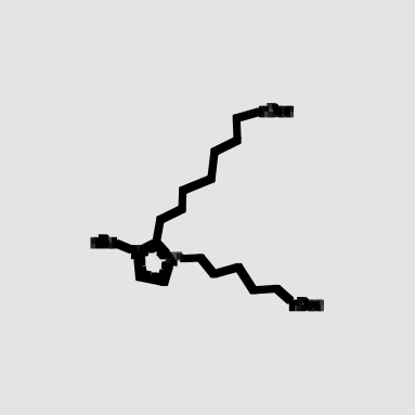 CCCCCCCCCCCCCCCCCc1n(CCCC)cc[n+]1CCCCCCCCCCCCCCC